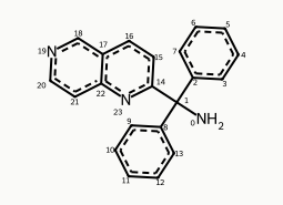 NC(c1ccccc1)(c1ccccc1)c1ccc2cnccc2n1